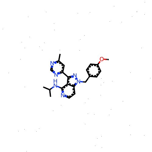 COc1ccc(Cn2nc(-c3cc(C)ncn3)c3c(NC(C)C)nccc32)cc1